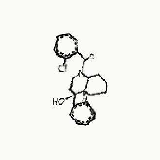 O=C(c1ccccc1Cl)N1CC[C@@](O)(c2ccccc2)[C@H]2CCCCC21